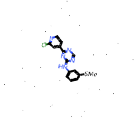 CSc1cccc(Nc2ncnc(-c3ccnc(Cl)c3)n2)c1